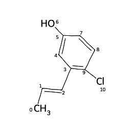 CC=Cc1cc(O)ccc1Cl